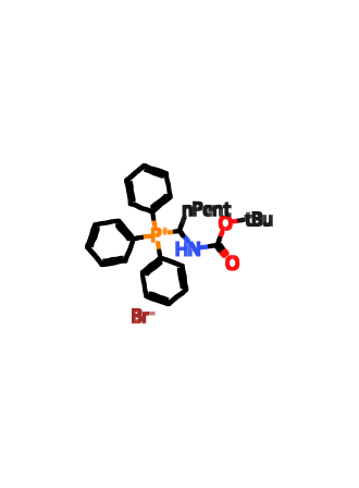 CCCCCC(NC(=O)OC(C)(C)C)[P+](c1ccccc1)(c1ccccc1)c1ccccc1.[Br-]